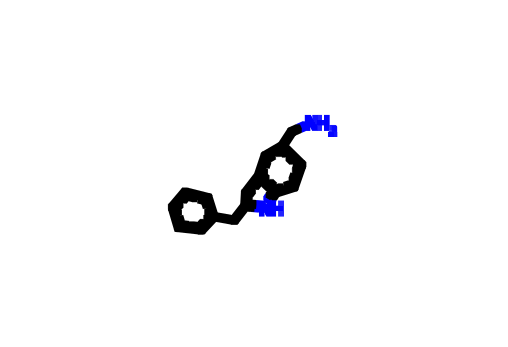 NCc1ccc2[nH]c(Cc3ccccc3)cc2c1